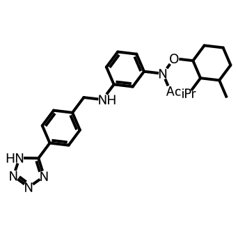 CC(=O)N(OC1CCCC(C)C1C(C)C)c1cccc(NCc2ccc(-c3nnn[nH]3)cc2)c1